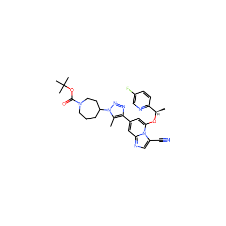 Cc1c(-c2cc(O[C@H](C)c3ccc(F)cn3)n3c(C#N)cnc3c2)nnn1C1CCCN(C(=O)OC(C)(C)C)CC1